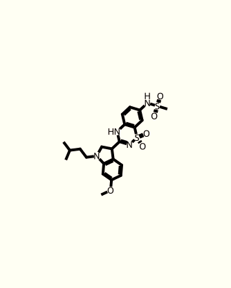 COc1ccc2c(c1)N(CCC(C)C)CC2C1=NS(=O)(=O)c2cc(NS(C)(=O)=O)ccc2N1